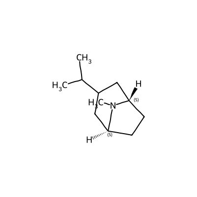 CC(C)C1C[C@@H]2CC[C@@H](C1)N2C